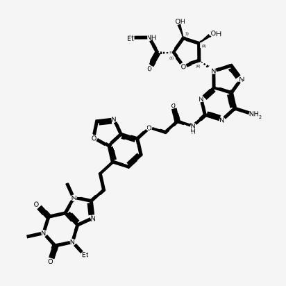 CCNC(=O)[C@H]1O[C@@H](n2cnc3c(N)nc(NC(=O)COc4ccc(CCc5nc6c(c(=O)n(C)c(=O)n6CC)n5C)c5ocnc45)nc32)[C@H](O)[C@@H]1O